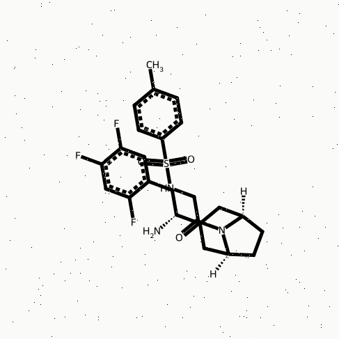 Cc1ccc(S(=O)(=O)NCC(=O)N2[C@@H]3CC[C@H]2CC([C@H](N)Cc2cc(F)c(F)cc2F)C3)cc1